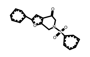 O=C1CN(S(=O)(=O)c2ccccc2)Cc2oc(-c3ccccc3)cc21